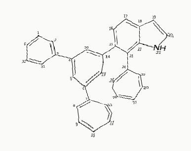 c1ccc(-c2cc(-c3ccccc3)cc(-c3ccc4cc[nH]c4c3-c3ccccc3)c2)cc1